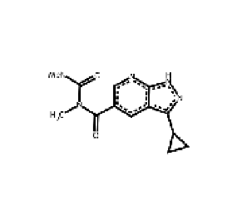 CNC(=O)N(C)C(=O)c1cnc2[nH]nc(C3CC3)c2c1